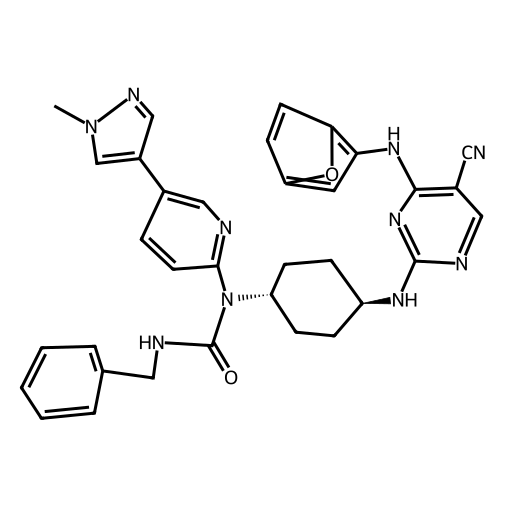 Cn1cc(-c2ccc(N(C(=O)NCc3ccccc3)[C@H]3CC[C@H](Nc4ncc(C#N)c(Nc5cc6ccc5o6)n4)CC3)nc2)cn1